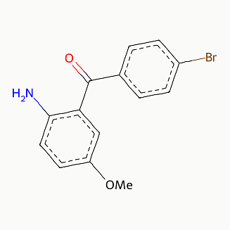 COc1ccc(N)c(C(=O)c2ccc(Br)cc2)c1